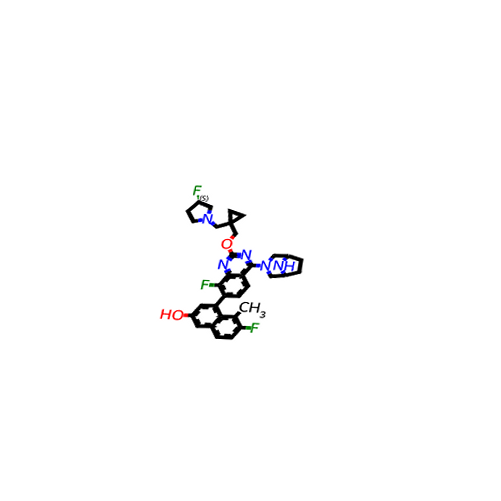 Cc1c(F)ccc2cc(O)cc(-c3ccc4c(N5CC6CCC(C5)N6)nc(OCC5(CN6CC[C@H](F)C6)CC5)nc4c3F)c12